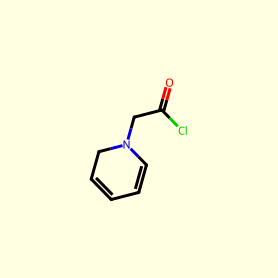 O=C(Cl)CN1C=CC=CC1